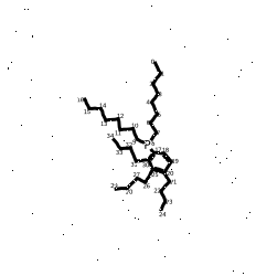 CCCCCCCCP(CCCCCCCC)c1ccc(CCCC)c(CCCC)c1CCCC